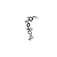 CC(C)(C)OC(=O)N1CCN(S(=O)(=O)c2ccc(Nc3ncc(C=O)cn3)cc2)CC1